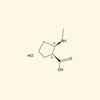 CN[C@@H]1CCC[C@@H]1C(=O)O.Cl